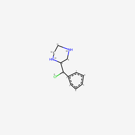 ClC(c1ccccc1)C1CNCCN1